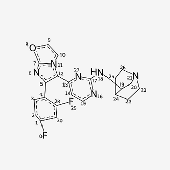 Fc1ccc(-c2nc3occn3c2-c2ccnc(NC3CN4CCC3CC4)n2)c(F)c1